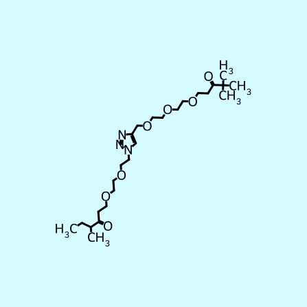 CCC(C)C(=O)CCOCCOCCn1cc(COCCOCCOCCC(=O)C(C)(C)C)nn1